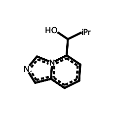 CC(C)C(O)c1cccc2cncn12